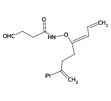 C=C/C=C(/CCC(=C)C(C)C)ONC(=O)CCC=O